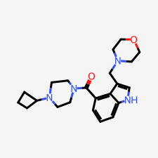 O=C(c1cccc2[nH]cc(CN3CCOCC3)c12)N1CCN(C2CCC2)CC1